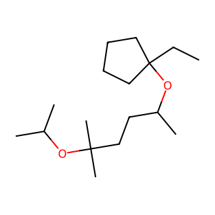 CCC1(OC(C)CCC(C)(C)OC(C)C)CCCC1